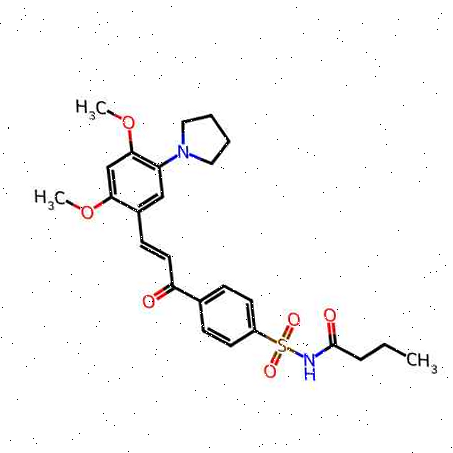 CCCC(=O)NS(=O)(=O)c1ccc(C(=O)C=Cc2cc(N3CCCC3)c(OC)cc2OC)cc1